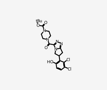 CC(C)(C)OC(=O)N1CCN(C(=O)c2nnc3n2CC(c2c(O)ccc(Cl)c2Cl)C3)CC1